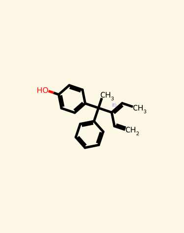 C=C/C(=C\C)C(C)(c1ccccc1)c1ccc(O)cc1